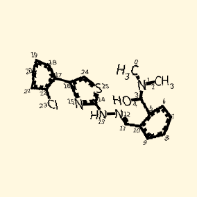 CN(C)C(O)c1ccccc1/C=N/Nc1nc(-c2ccccc2Cl)cs1